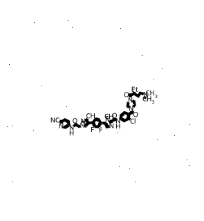 CCC(CCN(C)C)C(=O)N1CCN(C(=O)c2ccc(NC(=O)c3ncc(-c4ccc(-c5cn(CC(=O)Nc6ccc(C#N)nc6)nc5C)c(F)c4F)n3C)cc2Cl)CC1